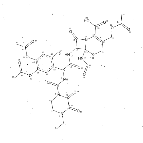 CCN1CCN(C(=O)NC(C(=O)N[C@@H]2C(=O)N3C(C(=O)O)=C(COC(C)=O)CSC23NC=O)c2cc(OC(C)=O)c(OC(C)=O)cc2Br)C(=O)C1=O